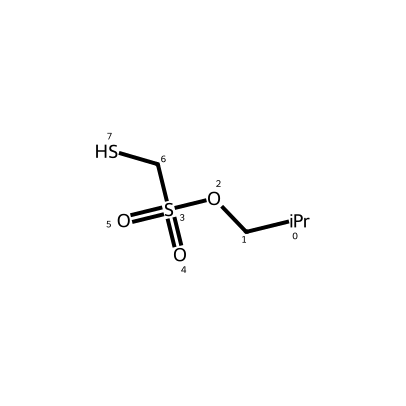 CC(C)COS(=O)(=O)CS